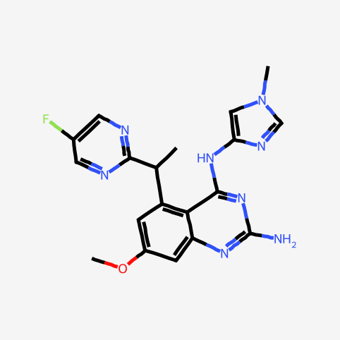 COc1cc(C(C)c2ncc(F)cn2)c2c(Nc3cn(C)cn3)nc(N)nc2c1